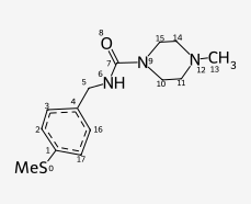 CSc1ccc(CNC(=O)N2CCN(C)CC2)cc1